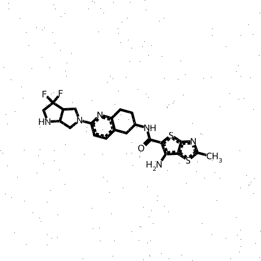 Cc1nc2sc(C(=O)NC3CCc4nc(N5CC6NCC(F)(F)C6C5)ccc4C3)c(N)c2s1